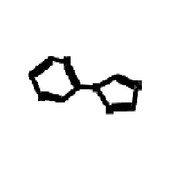 c1cnc(-n2cncn2)cn1